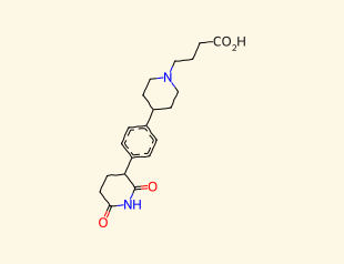 O=C(O)CCCN1CCC(c2ccc(C3CCC(=O)NC3=O)cc2)CC1